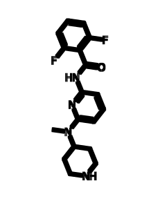 CN(c1cccc(NC(=O)c2c(F)cccc2F)n1)C1CCNCC1